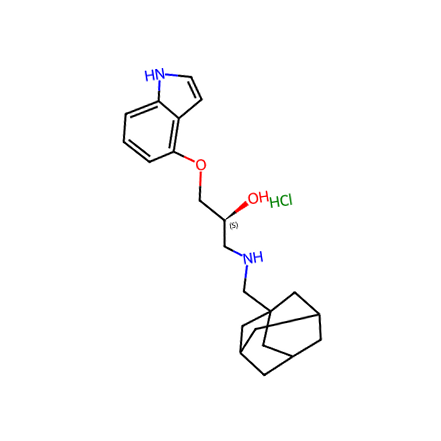 Cl.O[C@@H](CNCC12CC3CC(CC(C3)C1)C2)COc1cccc2[nH]ccc12